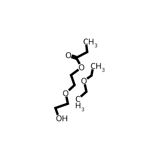 CCC(=O)OCCOCCO.CCOCC